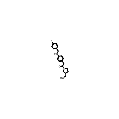 O=C(Cc1ccc(NCc2ccc(F)cc2)cc1)N1CC[C@@H](CO)C1